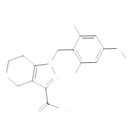 CCOc1cc(F)c(Cn2nc(C(=O)OC)c3c2CCSC3)c(F)c1